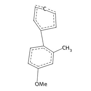 COc1ccc(-c2ccccc2)c(C)c1